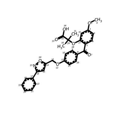 COc1ccc(C(=O)c2ccc(OCc3cc(-c4ccccc4)no3)cc2)c(OC(C)(C)C(=O)O)c1